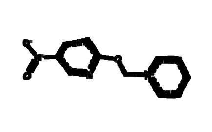 O=[N+]([O-])c1ccc(OC[n+]2ccccc2)nc1